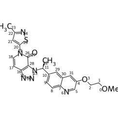 COCCOc1cnc2ccc([C@H](C)n3nnc4ccn(-c5cc(C)ns5)c(=O)c43)cc2c1